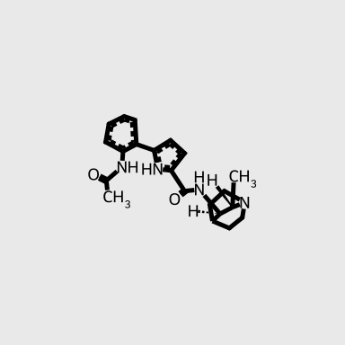 CC(=O)Nc1ccccc1-c1ccc(C(=O)N[C@@H]2C3CCN(CC3)[C@H]2C)[nH]1